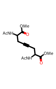 COC(=O)C(CC#CCC(NC(C)=O)C(=O)OC)NC(C)=O